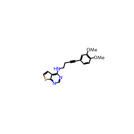 COc1ccc(C#CCCNc2ncnc3sccc23)cc1OC